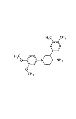 COc1ccc(N2CCC(N)C(c3ccc(C)c(C)c3)C2)cc1OC